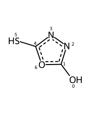 Oc1nnc(S)o1